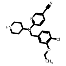 CCOc1cc(CN(c2ccc(C#N)cn2)C2CCNCC2)ccc1Cl